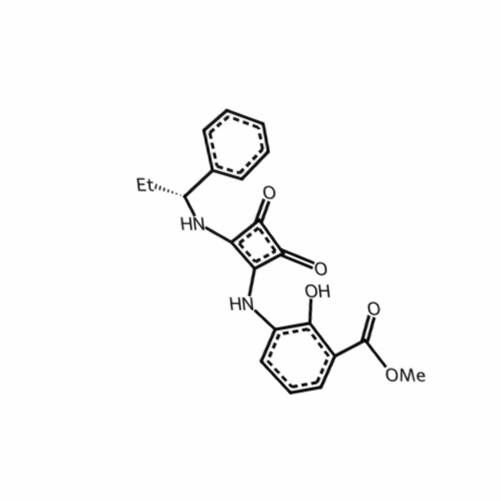 CC[C@@H](Nc1c(Nc2cccc(C(=O)OC)c2O)c(=O)c1=O)c1ccccc1